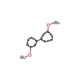 CCC(C)Oc1cc[c]c(-c2[c]ccc(OC(C)CC)c2)c1